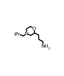 C[C](C)CN1CCOC(CCCN)C1